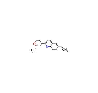 C=Cc1ccc2nc(C3CCO[C@@H](C)C3)ccc2c1